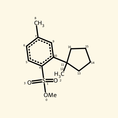 COS(=O)(=O)c1ccc(C)cc1C1(C)CCCC1